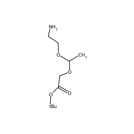 CC(OCCN)OCC(=O)OC(C)(C)C